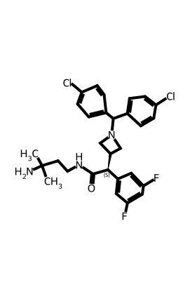 CC(C)(N)CCNC(=O)[C@H](c1cc(F)cc(F)c1)C1CN(C(c2ccc(Cl)cc2)c2ccc(Cl)cc2)C1